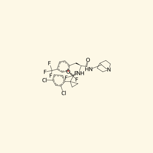 O=C(NC1CN2CCC1CC2)[C@H](Cc1ccc(C(F)(F)F)cc1C(F)(F)F)NC(=O)C1(c2ccc(Cl)cc2Cl)CC1